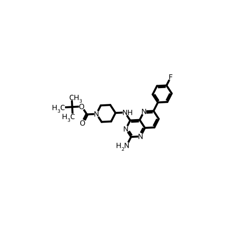 CC(C)(C)OC(=O)N1CCC(Nc2nc(N)nc3ccc(-c4ccc(F)cc4)nc23)CC1